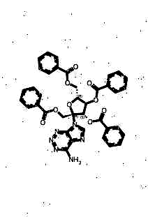 Nc1nnnc2c1ncn2[C@]1(COC(=O)c2ccccc2)O[C@H](COC(=O)c2ccccc2)C(OC(=O)c2ccccc2)[C@@H]1OC(=O)c1ccccc1